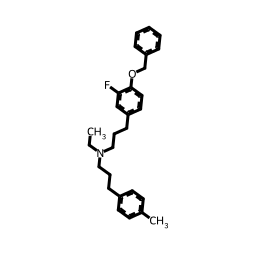 CCN(CCCc1ccc(C)cc1)CCCc1ccc(OCc2ccccc2)c(F)c1